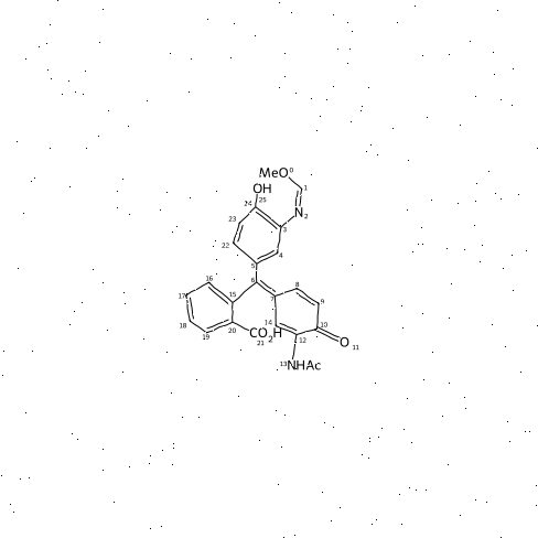 CO/C=N\c1cc(/C(=C2\C=CC(=O)C(NC(C)=O)=C2)c2ccccc2C(=O)O)ccc1O